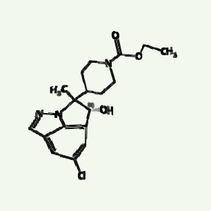 CCOC(=O)N1CCC(C2(C)[C@H](O)c3cc(Cl)cc4cnn2c34)CC1